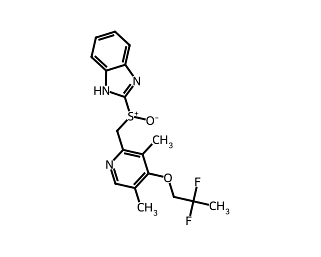 Cc1cnc(C[S+]([O-])c2nc3ccccc3[nH]2)c(C)c1OCC(C)(F)F